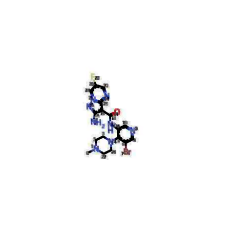 CN1CCN(c2c(Br)cncc2NC(=O)c2c(N)nn3cc(F)cnc23)CC1